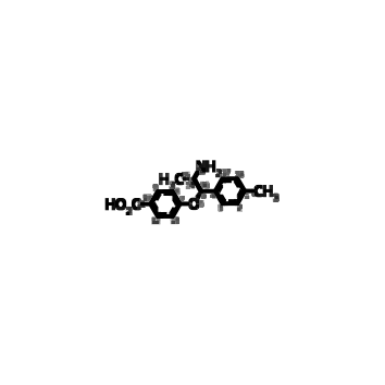 Cc1ccc([C@@H](Oc2ccc(C(=O)O)cc2)[C@H](C)N)cc1